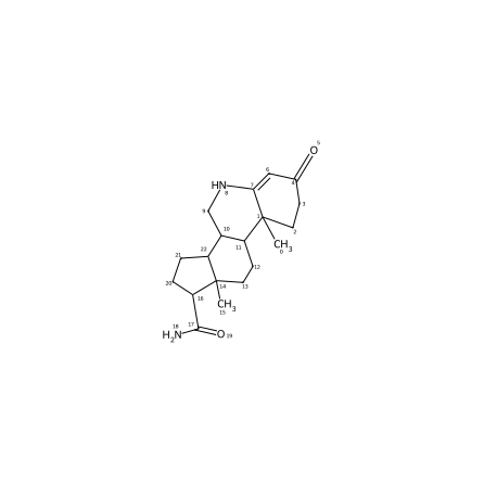 CC12CCC(=O)C=C1NCC1C2CCC2(C)C(C(N)=O)CCC12